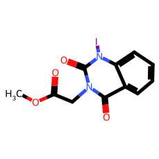 COC(=O)Cn1c(=O)c2ccccc2n(I)c1=O